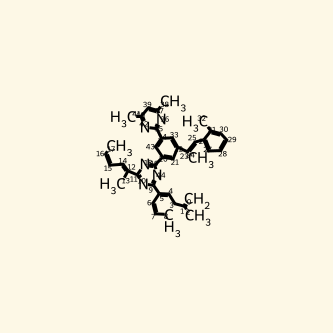 C=C(C)C/C=C(\C=C/C)c1nc(/C(C)=C/C=C\C)nc(-c2cc(/C(C)=C/c3ccccc3C)cc(-c3nc(C)cc(C)n3)c2)n1